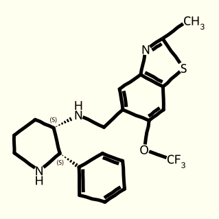 Cc1nc2cc(CN[C@H]3CCCN[C@H]3c3ccccc3)c(OC(F)(F)F)cc2s1